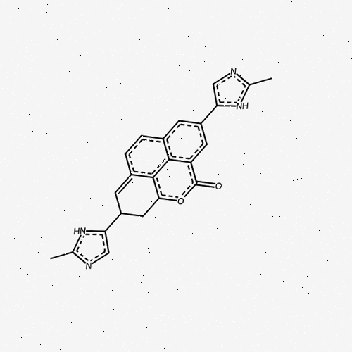 Cc1ncc(-c2cc3ccc4c5c(oc(=O)c(c2)c35)CC(c2cnc(C)[nH]2)C=4)[nH]1